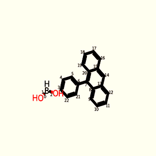 OBO.c1ccc(-c2c3ccccc3cc3ccccc23)cc1